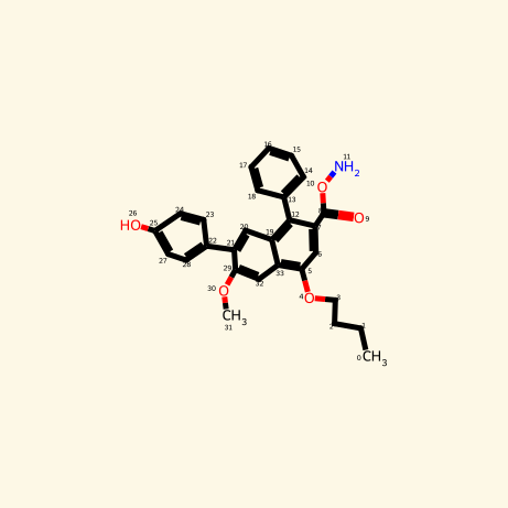 CCCCOc1cc(C(=O)ON)c(-c2ccccc2)c2cc(-c3ccc(O)cc3)c(OC)cc12